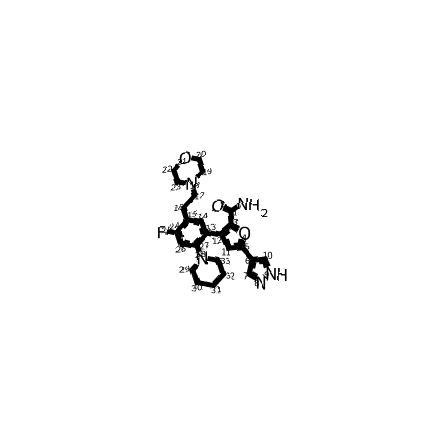 NC(=O)c1oc(-c2cn[nH]c2)cc1-c1cc(CCN2CCOCC2)c(F)cc1N1CCCCC1